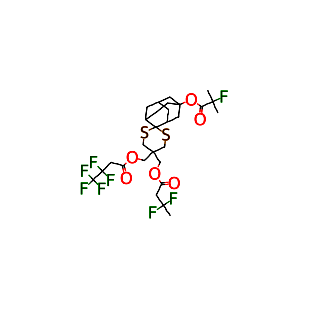 CC(F)(F)CC(=O)OCC1(COC(=O)CC(F)(F)C(F)(F)F)CSC2(SC1)C1CC3CC2CC(OC(=O)C(C)(C)F)(C3)C1